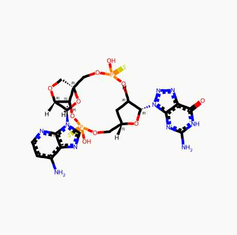 Nc1nc2c(nnn2[C@@H]2O[C@@H]3COP(O)(=S)O[C@H]4[C@H]5OC[C@]4(COP(O)(=S)O[C@@H]2C3)O[C@H]5n2cnc3c(N)ccnc32)c(=O)[nH]1